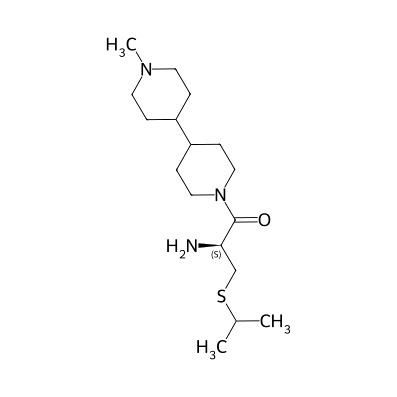 CC(C)SC[C@@H](N)C(=O)N1CCC(C2CCN(C)CC2)CC1